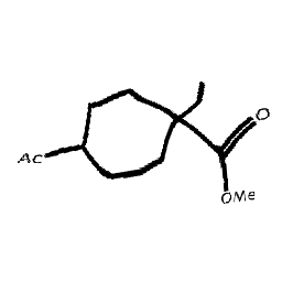 COC(=O)C1(C)CCC(C(C)=O)CC1